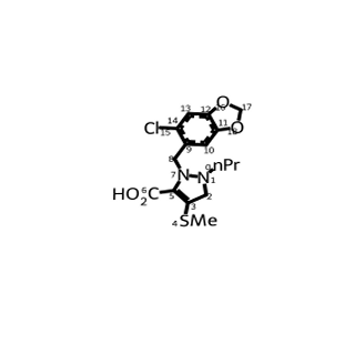 CCCN1CC(SC)=C(C(=O)O)N1Cc1cc2c(cc1Cl)OCO2